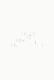 CCCCOC(C)(O)NCCNCCN